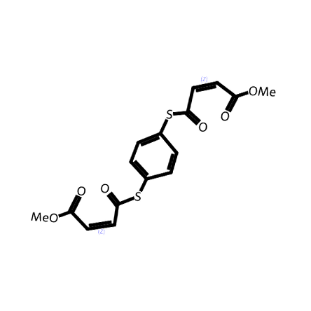 COC(=O)/C=C\C(=O)Sc1ccc(SC(=O)/C=C\C(=O)OC)cc1